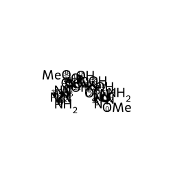 COc1nc(N)nc2c1ncn2[C@@H]1O[C@H](COP(=O)(O)OC2C(O)[C@H](n3cnc4c(N)ncnc43)O[C@@H]2OC)C(O)C1O